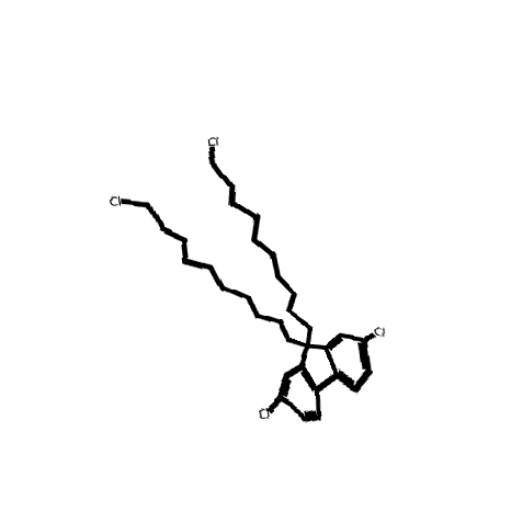 ClCCCCCCCCCCC1(CCCCCCCCCCCl)c2cc(Cl)ccc2-c2ccc(Cl)cc21